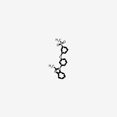 Cc1nc2ccccc2n1-c1cccc(Oc2cccc(S(C)(=O)=O)c2)c1